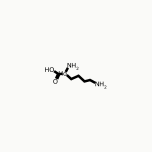 NCCC[CH2][Ho]([NH2])[C](=O)O